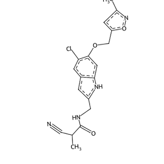 Cc1cc(COc2cc3[nH]c(CNC(=O)C(C)C#N)cc3cc2Cl)on1